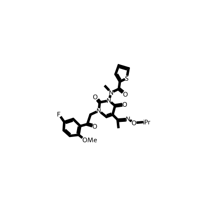 COc1ccc(F)cc1C(=O)Cn1cc(/C(C)=N/OC(C)C)c(=O)n(N(C)C(=O)c2cccs2)c1=O